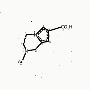 CC(=O)N1CCn2cc(C(=O)O)cc2C1